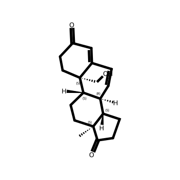 C[C@]12CC[C@H]3[C@@H](C=CC4=CC(=O)CC[C@@]43CO)[C@@H]1CCC2=O